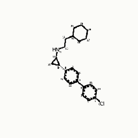 Clc1ccc(-c2ccc([C@@H]3C[C@H]3NCCC3CCCCC3)cc2)cc1